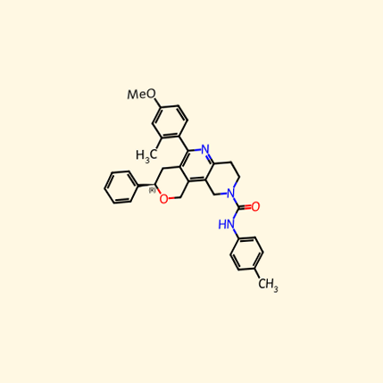 COc1ccc(-c2nc3c(c4c2C[C@H](c2ccccc2)OC4)CN(C(=O)Nc2ccc(C)cc2)CC3)c(C)c1